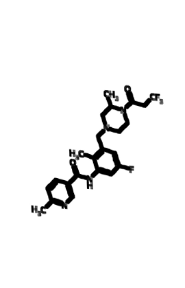 Cc1ccc(C(=O)Nc2cc(F)cc(CN3CCN(C(=O)CC(F)(F)F)C(C)C3)c2C)cn1